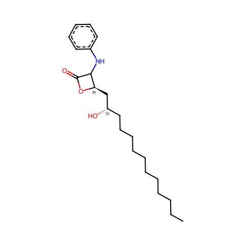 CCCCCCCCCCC[C@H](O)C[C@H]1OC(=O)C1Nc1ccccc1